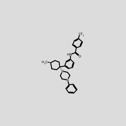 C[C@H]1CC[C@](c2cccc(NC(=O)c3ccc(C(F)(F)F)cc3)c2)(N2CCN(c3ccccc3)CC2)CC1